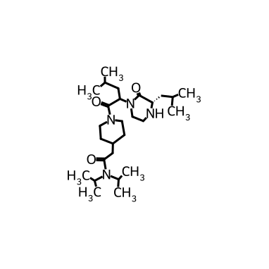 CC(C)CC(C(=O)N1CCC(CC(=O)N(C(C)C)C(C)C)CC1)N1CCN[C@@H](CC(C)C)C1=O